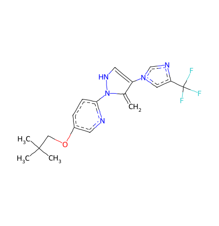 C=C1C(n2cnc(C(F)(F)F)c2)=CNN1c1ccc(OCC(C)(C)C)cn1